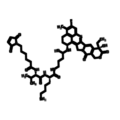 CC[C@@]1(O)C(=O)OCc2c1cc1n(c2=O)Cc2c-1nc1cc(F)c(C)c3c1c2[C@@H](NC(O)CCCNC(=O)[C@H](CCCCN)NC(=O)[C@@H](NC(=O)CCCCCN1C(=O)C=CC1=O)C(C)C)CC3